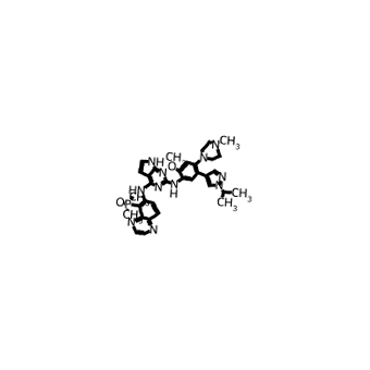 COc1cc(N2CCN(C)CC2)c(-c2cnn(C(C)C)c2)cc1Nc1nc(Nc2ccc3nccnc3c2P(C)(C)=O)c2cc[nH]c2n1